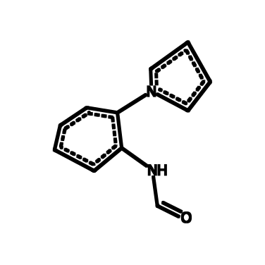 O=CNc1ccccc1-n1cccc1